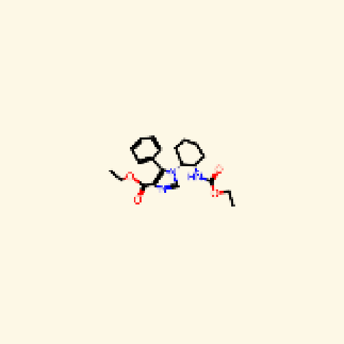 CCOC(=O)N[C@@H]1CCCC[C@H]1n1cnc(C(=O)OCC)c1-c1ccccc1